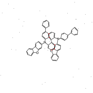 c1ccc(-c2ccc(N(c3ccc4c(c3)oc3ccccc34)c3ccccc3-c3ccccc3N(c3ccc(-c4ccccc4)cc3)c3ccc4c(c3)oc3ccccc34)cc2)cc1